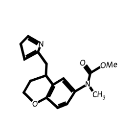 COC(=O)N(C)c1ccc2c(c1)C(CC1=CCC=N1)CCO2